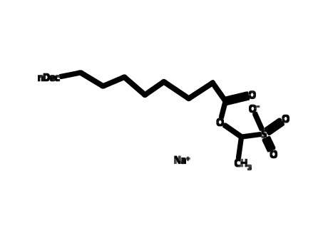 CCCCCCCCCCCCCCCCCC(=O)OC(C)S(=O)(=O)[O-].[Na+]